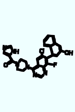 O=C(c1cnc[nH]1)N1CCN(c2ncnc3c(F)c(-c4cc(O)cc5ccccc45)c(Cl)cc23)CC1